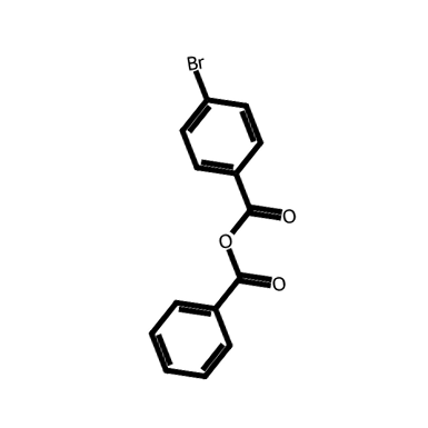 O=C(OC(=O)c1ccc(Br)cc1)c1ccccc1